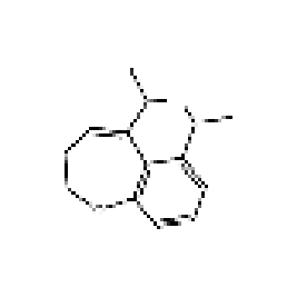 CC(C)C1=CCCOc2cccc(C(C)C)c21